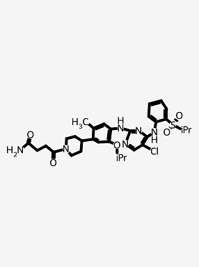 Cc1cc(Nc2ncc(Cl)c(Nc3ccccc3S(=O)(=O)C(C)C)n2)c(OC(C)C)cc1C1CCN(C(=O)CCC(N)=O)CC1